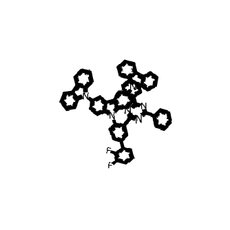 Fc1cccc(-c2ccc(-n3c4ccc(-n5c6ccccc6c6ccccc65)cc4c4cc(-n5c6ccccc6c6ccccc65)ccc43)c(-c3nc(-c4ccccc4)nc(-c4ccccc4)n3)c2)c1F